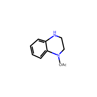 CC(=O)ON1CCNc2ccccc21